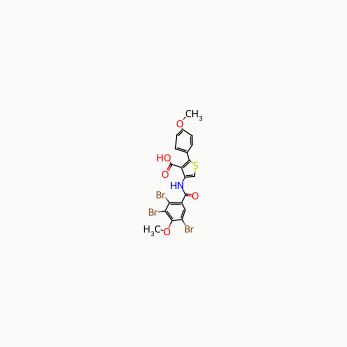 COc1ccc(-c2scc(NC(=O)c3cc(Br)c(OC)c(Br)c3Br)c2C(=O)O)cc1